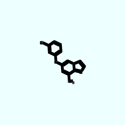 Nc1cc(Oc2cccc(Cl)c2)cn2ccnc12